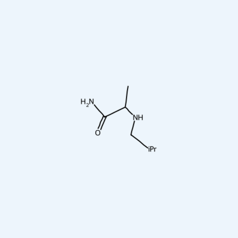 CC(C)CNC(C)C(N)=O